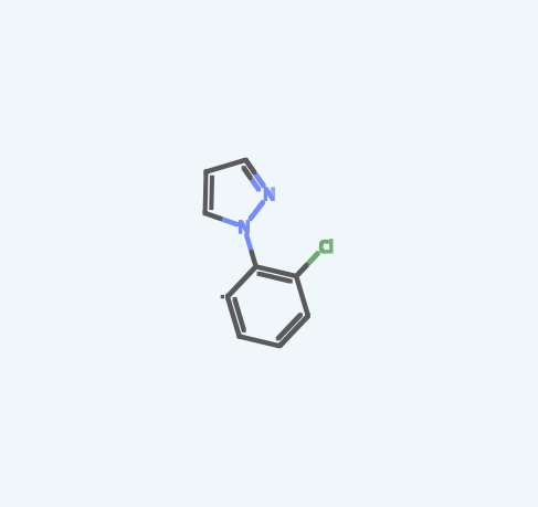 Clc1ccc[c]c1-n1cccn1